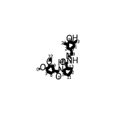 COc1ccc(C(=O)Nc2ccccc2C(=O)NN=Cc2cc(C)c(O)c(C)c2)cc1OC